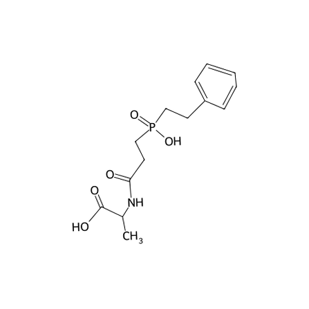 CC(NC(=O)CCP(=O)(O)CCc1ccccc1)C(=O)O